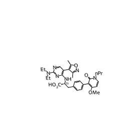 CCCn1ccc(OC)c(-c2ccc(C[C@H](Nc3nc(N(CC)CC)ncc3-c3c(C)noc3C)C(=O)O)cc2)c1=O